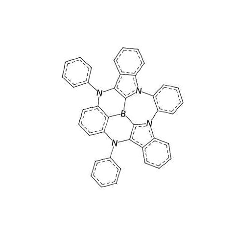 c1ccc(N2c3cccc4c3B3c5c2c2ccccc2n5-c2ccccc2-n2c3c(c3ccccc32)N4c2ccccc2)cc1